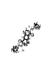 C[C@H](Cn1ncnn1)n1cnc2cc3c(=O)n([C@H](C)Cn4cnnn4)nnc3cc2c1=O